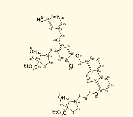 CCOC(=O)C1(CO)CCN(CCCOc2cccc(-c3cccc(COc4cc(OCc5cncc(C#N)c5)c(CN5CCC(CO)(C(=O)OCC)C5)cc4Cl)c3C)c2Cl)C1